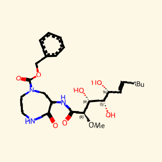 CO[C@@H](C(=O)NC1CN(C(=O)OCc2ccccc2)CCNC1=O)[C@H](O)[C@@H](O)[C@H](O)C=CC(C)(C)C